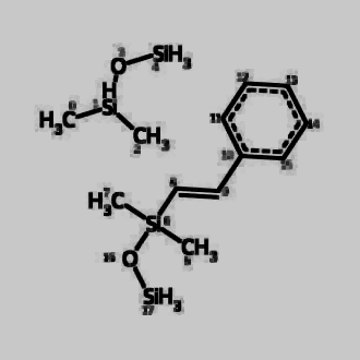 C[SiH](C)O[SiH3].C[Si](C)(C=Cc1ccccc1)O[SiH3]